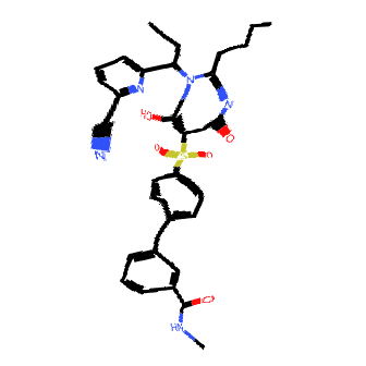 CCCCc1nc(=O)c(S(=O)(=O)c2ccc(-c3cccc(C(=O)NC)c3)cc2)c(O)n1C(CC)c1cccc(C#N)n1